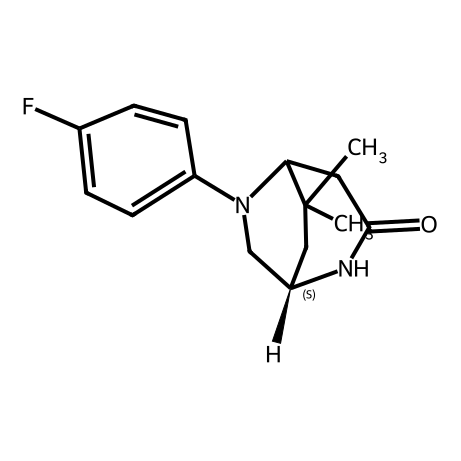 CC1(C)C[C@H]2CN(c3ccc(F)cc3)C1CC(=O)N2